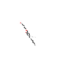 CCCCCCCCCCCC(=O)[O-].CCCCCCCCCCCC(=O)[O-].[Be+2]